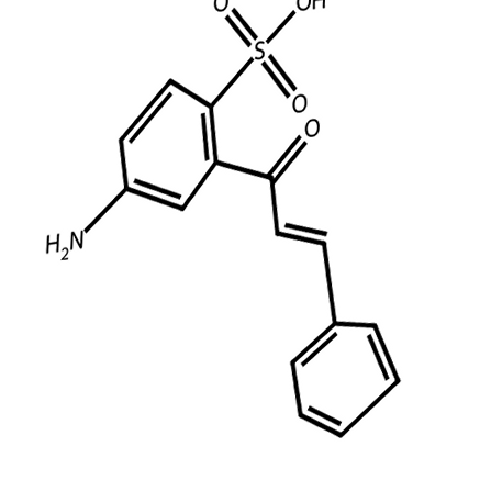 Nc1ccc(S(=O)(=O)O)c(C(=O)C=Cc2ccccc2)c1